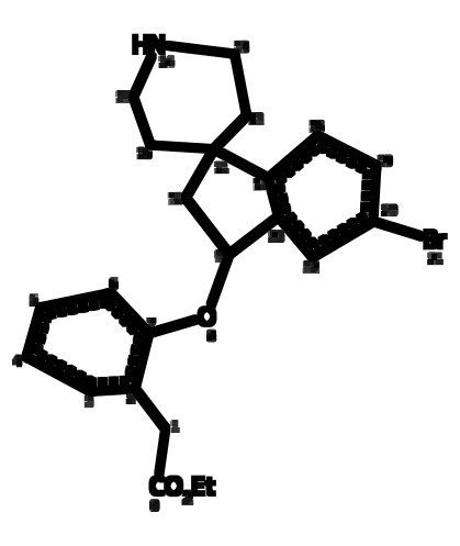 CCOC(=O)Cc1ccccc1OC1CC2(CCNCC2)c2ccc(Br)cc21